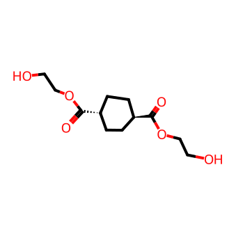 O=C(OCCO)[C@H]1CC[C@H](C(=O)OCCO)CC1